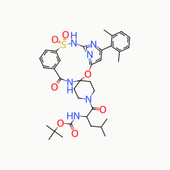 Cc1cccc(C)c1-c1cc2nc(n1)NS(=O)(=O)c1cccc(c1)C(=O)NC1(CCN(C(=O)C(CC(C)C)NC(=O)OC(C)(C)C)CC1)O2